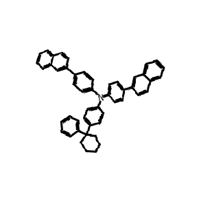 c1ccc(C2(c3ccc(N(c4ccc(-c5ccc6ccccc6c5)cc4)c4ccc(-c5ccc6ccccc6c5)cc4)cc3)CCCCC2)cc1